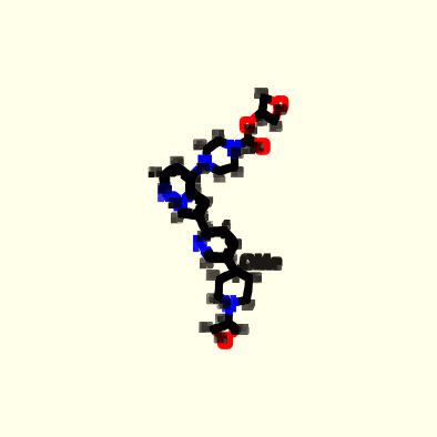 COC1(c2ccc(-c3cc4c(N5CCN(C(=O)OC6COC6)CC5)ccnn4c3)nc2)CCN(C2COC2)CC1